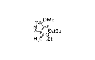 C=C(OCC)c1cnnc(OC)c1COC(C)(C)C